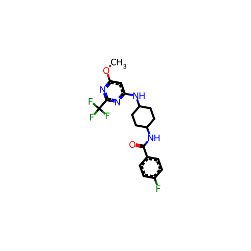 COc1cc(NC2CCC(NC(=O)c3ccc(F)cc3)CC2)nc(C(F)(F)F)n1